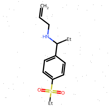 C=CCNC(CC)c1ccc(S(=O)(=O)CC)cc1